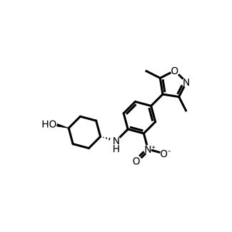 Cc1noc(C)c1-c1ccc(N[C@H]2CC[C@H](O)CC2)c([N+](=O)[O-])c1